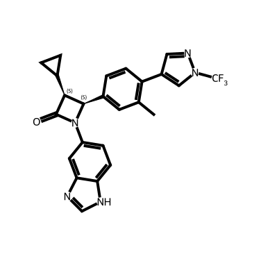 Cc1cc([C@@H]2[C@H](C3CC3)C(=O)N2c2ccc3[nH]cnc3c2)ccc1-c1cnn(C(F)(F)F)c1